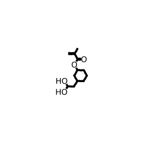 C=C(C)C(=O)OC1CCCC(CC(O)O)C1